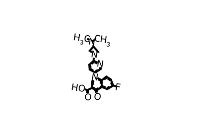 CN(C)C1CN(c2ccc(-n3cc(C(=O)O)c(=O)c4cc(F)ccc43)cn2)C1